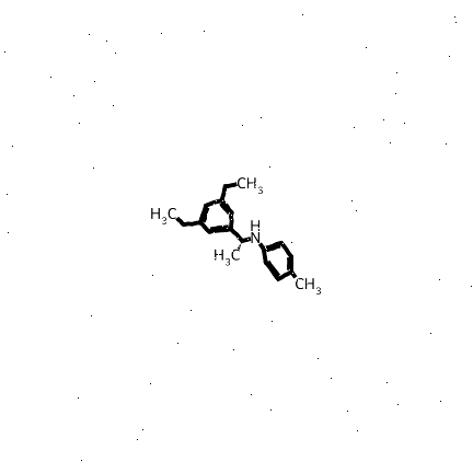 CCc1cc(CC)cc([C@@H](C)Nc2ccc(C)cc2)c1